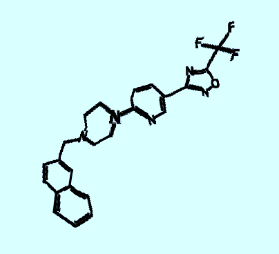 FC(F)(F)c1nc(-c2ccc(N3CCN(Cc4ccc5ccccc5c4)CC3)nc2)no1